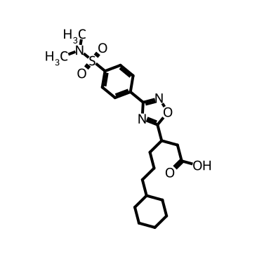 CN(C)S(=O)(=O)c1ccc(-c2noc(C(CCCC3CCCCC3)CC(=O)O)n2)cc1